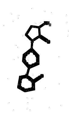 NC1CCN(c2ccc(-n3ccccc3=O)cc2)C1=O